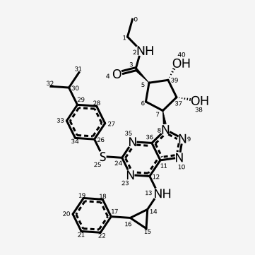 CCNC(=O)[C@@H]1C[C@H](n2nnc3c(NC4CC4c4ccccc4)nc(Sc4ccc(C(C)C)cc4)nc32)[C@@H](O)[C@H]1O